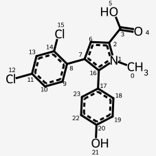 Cn1c(C(=O)O)cc(-c2ccc(Cl)cc2Cl)c1-c1ccc(O)cc1